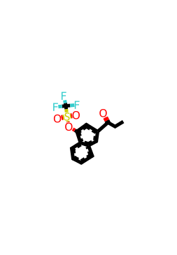 CCC(=O)c1cc(OS(=O)(=O)C(F)(F)F)c2ccccc2c1